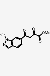 CCCn1ncc2ccc(C(=O)CC(=O)C(=O)OC)cc21